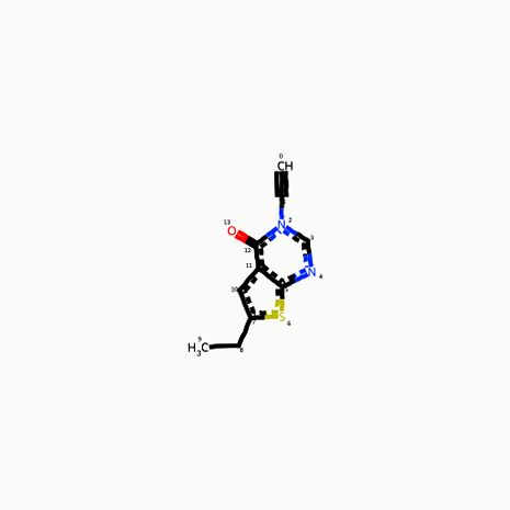 C#Cn1cnc2sc(CC)cc2c1=O